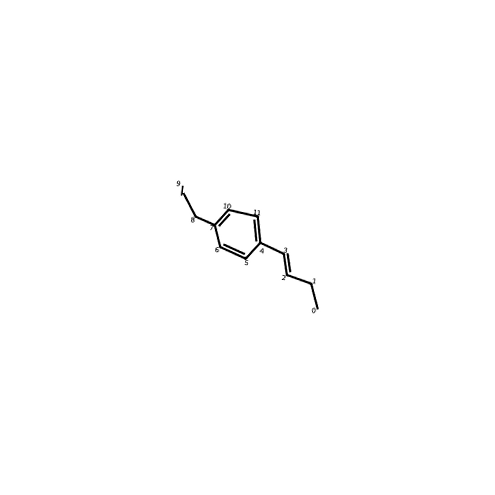 CCC=Cc1ccc(CI)cc1